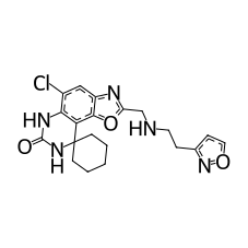 O=C1Nc2c(Cl)cc3nc(CNCCc4ccon4)oc3c2C2(CCCCC2)N1